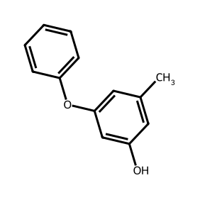 Cc1cc(O)cc(Oc2ccccc2)c1